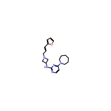 C(=Cc1ccco1)CN1CC(Nc2nccc(N3CCCCCC3)n2)C1